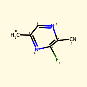 Cc1cnc(C#N)c(F)n1